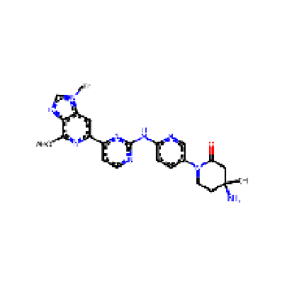 COc1nc(-c2ccnc(Nc3ccc(N4CCC(C)(N)CC4=O)cn3)n2)cc2c1ncn2C(C)C